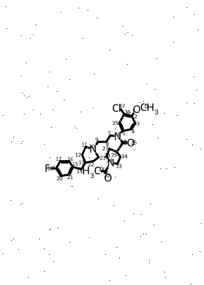 COc1ccc(N(CCCN2CCC(Cc3ccc(F)cc3)CC2)C(=O)C2CCN(C(C)=O)CC2)cc1Cl